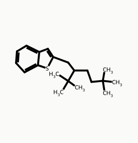 CC(C)(C)CCC(Cc1cc2ccccc2s1)C(C)(C)C